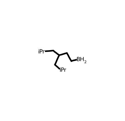 BCCC(CC(C)C)CC(C)C